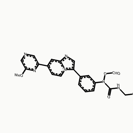 COc1cncc(-c2ccn3c(-c4cccc(N(OC=O)C(=O)NCC(F)(F)F)c4)cnc3c2)n1